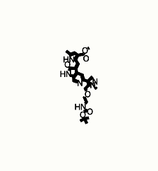 COC(=O)c1cc(C)[nH]c1/C=C1\C(=O)Nc2cnc(-c3cnn(C)c3COCCNC(=O)OC(C)(C)C)cc21